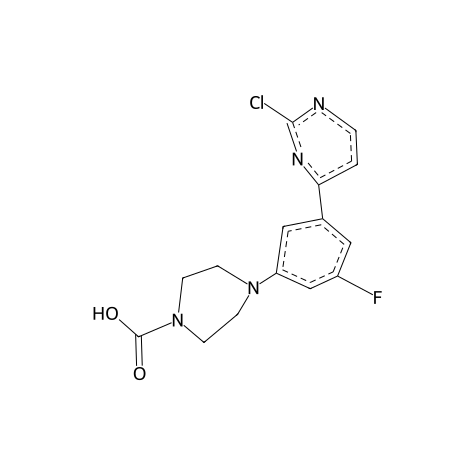 O=C(O)N1CCN(c2cc(F)cc(-c3ccnc(Cl)n3)c2)CC1